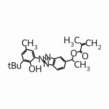 C=C(C)C(=O)OC(C)c1ccc2c(c1)n1n(-c3cc(C)cc(C(C)(C)C)c3O)n21